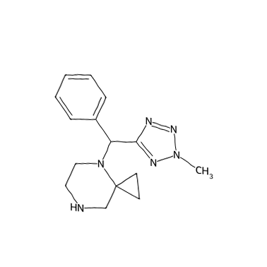 Cn1nnc(C(c2ccccc2)N2CCNCC23CC3)n1